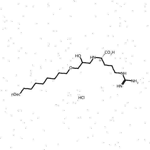 CCCCCCCCCCCCCCCCCCOCC(O)CN[C@@H](CCCNC(=N)N)C(=O)O.Cl